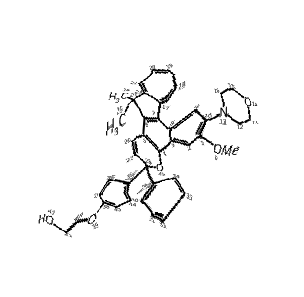 COc1cc2c3c(c4c(c2cc1N1CCOCC1)-c1ccccc1C4(C)C)C=CC(c1ccccc1)(c1ccc(OCCO)cc1)O3